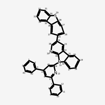 c1ccc(-c2cc(-c3ccccc3)nc(-n3c4ccccc4c4cc(-c5ccc6sc7ccccc7c6c5)cnc43)c2)cc1